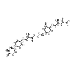 CC(C)NC[C@H](O)COc1ccc(OCCCNC(=O)COc2ccc(C3=NNC(=O)CC3)cc2)cc1Br